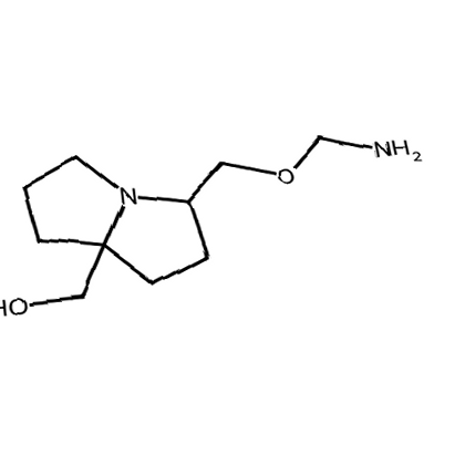 NCOCC1CCC2(CO)CCCN12